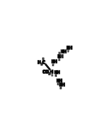 CC(=O)O.[KH].[KH].[KH].[KH].[KH].[KH].[KH]